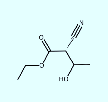 CCOC(=O)[C@H](C#N)C(C)O